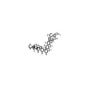 [Ba+2].[Ba+2].[Gd+3].[Gd+3].[O-2].[O-2].[O-2].[O-2].[O-2]